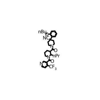 CCCCOc1ccccc1C1(C#N)CCN(C(=O)C2CCCN(C(=O)c3cnccc3C(F)(F)F)C2CCC)CC1